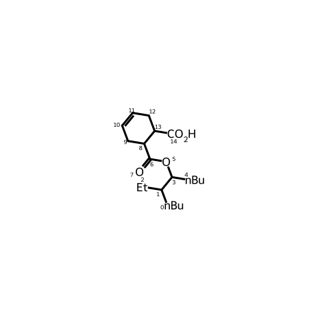 CCCCC(CC)C(CCCC)OC(=O)C1CC=CCC1C(=O)O